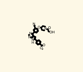 COC(=O)c1ccc(-c2cc3c(-c4ccc(OC5CCN(C(=O)CO)CC5)c(C#N)c4)ncnc3[nH]2)cc1